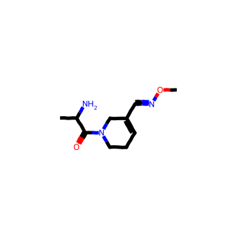 CON=CC1=CCCN(C(=O)C(C)N)C1